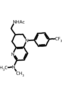 CC(=O)NCC1Cc2nc(N(C)C)ccc2N(c2ccc(C(F)(F)F)cc2)C1